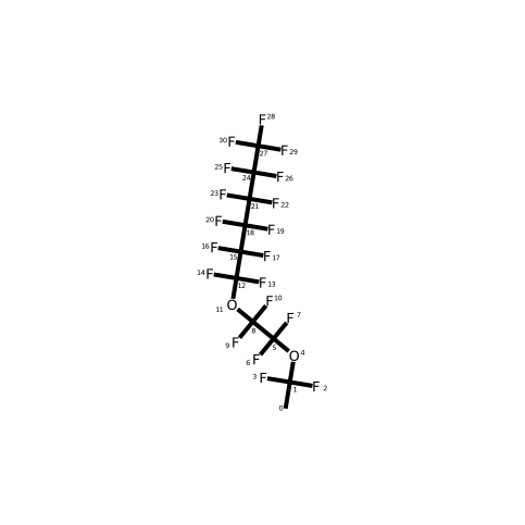 CC(F)(F)OC(F)(F)C(F)(F)OC(F)(F)C(F)(F)C(F)(F)C(F)(F)C(F)(F)C(F)(F)F